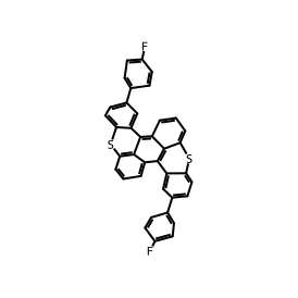 Fc1ccc(-c2ccc3sc4cccc5c4c(c3c2)c2cccc3sc4ccc(-c6ccc(F)cc6)cc4c5c32)cc1